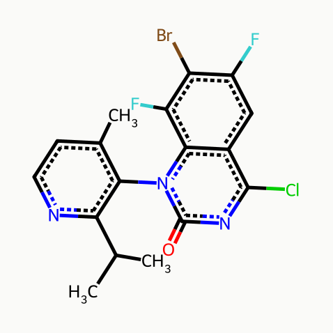 Cc1ccnc(C(C)C)c1-n1c(=O)nc(Cl)c2cc(F)c(Br)c(F)c21